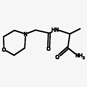 CC(NC(=O)CN1CCOCC1)C(N)=O